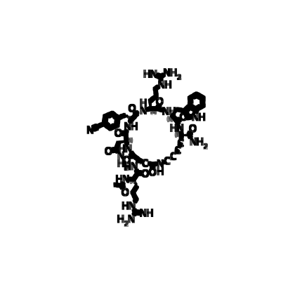 CC(=O)N[C@@H](CCCNC(=N)N)C(=O)N[C@H]1CC(=O)NCCCC[C@@H](C(N)=O)NC(=O)[C@H](Cc2c[nH]c3ccccc23)NC(=O)[C@H](CCCNC(=N)N)NC(=O)[C@@H](Cc2ccc(C#N)cc2)NC(=O)[C@H](CC(N)=O)NC1=O